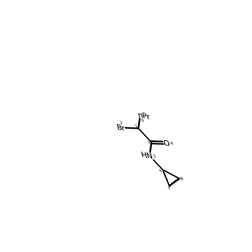 CCCC(Br)C(=O)NC1CC1